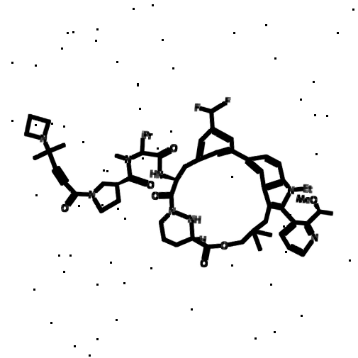 CCn1c(-c2cccnc2[C@H](C)OC)c2c3cc(ccc31)-c1cc(cc(C(F)F)c1)C[C@H](NC(=O)C(C(C)C)N(C)C(=O)[C@H]1CCN(C(=O)C#CC(C)(C)N3CCC3)C1)C(=O)N1CCC[C@H](N1)C(=O)OCC(C)(C)C2